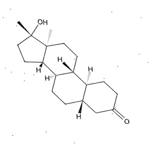 C[C@]1(O)CC[C@H]2[C@@H]3CC[C@H]4CC(=O)CC[C@@H]4[C@H]3CC[C@@]21C